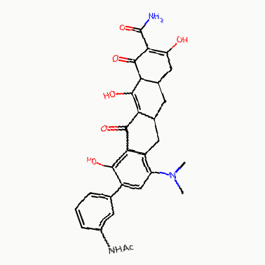 CC(=O)Nc1cccc(-c2cc(N(C)C)c3c(c2O)C(=O)C2=C(O)C4C(=O)C(C(N)=O)=C(O)CC4CC2C3)c1